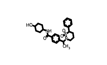 CC(c1ccc(C(=O)NC2CCC(O)CC2)cc1)N1CCCC(c2ccccc2)S1(=O)=O